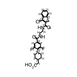 O=C(O)CC1CCN(c2c(F)cc(C(=O)NCCNC(=O)c3sc4ccccc4c3Cl)cc2F)CC1